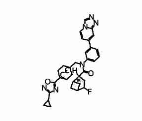 O=C([C@@H]1CC(F)C2CC1C2)N(CC12CCC(c3nc(C4CC4)no3)(CC1)CC2)c1cccc(-c2ccn3cnnc3c2)c1